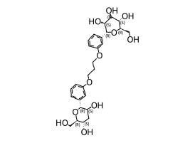 OC[C@H]1O[C@H](c2cccc(OCCCOc3cccc([C@H]4O[C@H](CO)[C@@H](O)C[C@@H]4O)c3)c2)[C@@H](O)[C@@H](O)[C@@H]1O